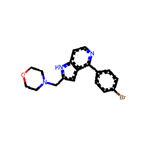 Brc1ccc(-c2nccc3[nH]c(CN4CCOCC4)cc23)cc1